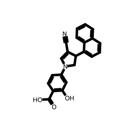 N#CC1=CN(c2ccc(C(=O)O)c(O)c2)CC1c1cccc2ccccc12